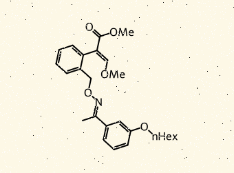 CCCCCCOc1cccc(/C(C)=N/OCc2ccccc2/C(=C\OC)C(=O)OC)c1